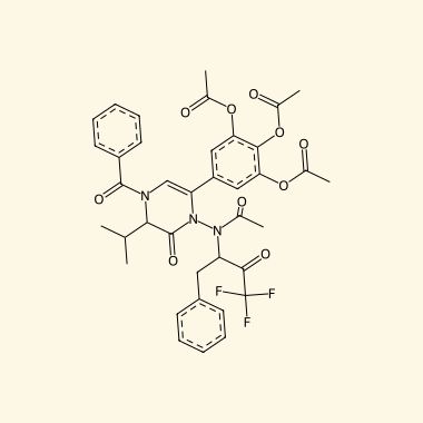 CC(=O)Oc1cc(C2=CN(C(=O)c3ccccc3)C(C(C)C)C(=O)N2N(C(C)=O)C(Cc2ccccc2)C(=O)C(F)(F)F)cc(OC(C)=O)c1OC(C)=O